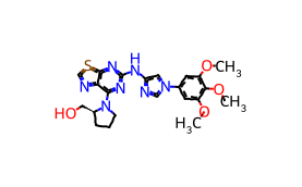 COc1cc(-n2cnc(Nc3nc(N4CCC[C@H]4CO)c4ncsc4n3)c2)cc(OC)c1OC